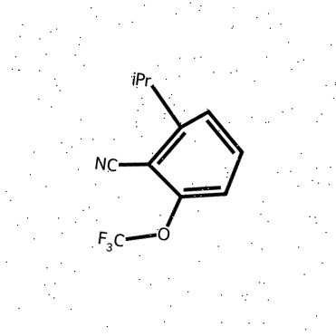 [CH2]C(C)c1cccc(OC(F)(F)F)c1C#N